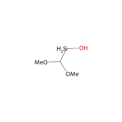 COC(OC)[SiH2]O